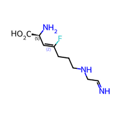 N=CCNCCC/C(F)=C/[C@H](N)C(=O)O